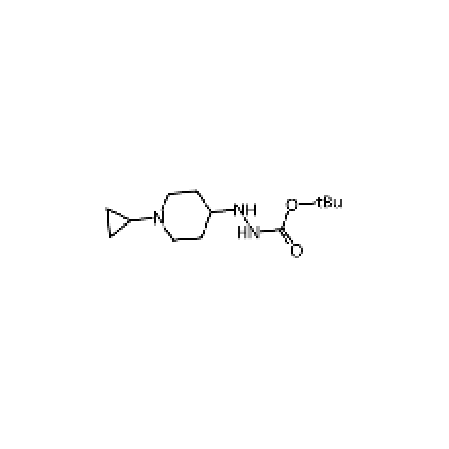 CC(C)(C)OC(=O)NNC1CCN(C2CC2)CC1